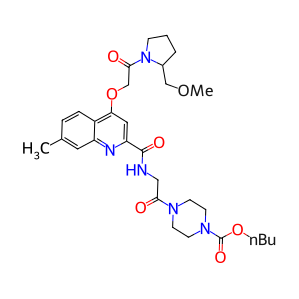 CCCCOC(=O)N1CCN(C(=O)CNC(=O)c2cc(OCC(=O)N3CCCC3COC)c3ccc(C)cc3n2)CC1